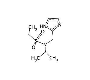 CCS(=O)(=O)N(Cc1ncc[nH]1)C(C)C